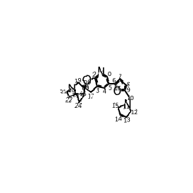 c1nc2c(cc1-c1ccc(CN3CCCC3)o1)C[C@@]1(CN3CCC34CC41)O2